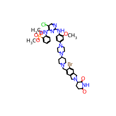 COc1cc(N2CCN(C3CCN(Cc4cc5c(cc4Br)CN(C4CCC(=O)NC4=O)C5)CC3)CC2)ccc1Nc1ncc(Cl)c(Nc2ccccc2P(=O)(OC)OC)n1